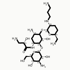 NCCCN[C@@H]1CC[C@@H](CN)O[C@@H]1OC1[C@@H](N)C[C@@H](NC(=O)[C@@H](O)CN)[C@H](O[C@H]2O[C@H](CO)[C@@H](O)[C@H](N)[C@H]2O)[C@H]1O